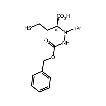 CCCN(NC(=O)OCc1ccccc1)[C@@H](CCS)C(=O)O